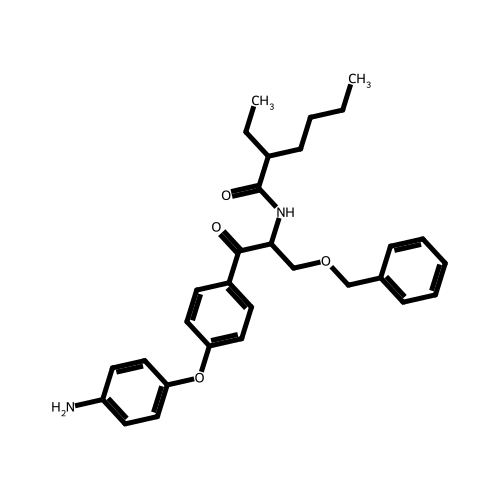 CCCCC(CC)C(=O)NC(COCc1ccccc1)C(=O)c1ccc(Oc2ccc(N)cc2)cc1